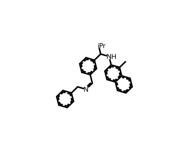 Cc1c(NC(c2cccc(/C=N\Cc3ccccc3)c2)C(C)C)ccc2ccccc12